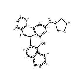 Oc1c(C(Nc2ccccn2)c2ccc(OC3CCCC3)cc2)ccc2cccnc12